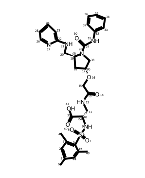 Cc1cc(C)c(S(=O)(=O)N[C@@H](CNC(=O)CO[C@@H]2C[C@@H](CNc3ccccn3)N(C(=O)Nc3ccccc3)C2)C(=O)O)c(C)c1